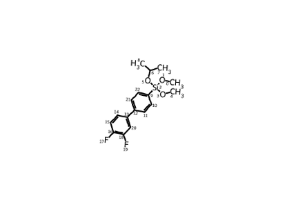 CO[Si](OC)(OC(C)C)c1ccc(-c2ccc(F)c(F)c2)cc1